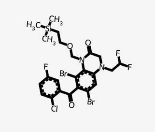 C[Si](C)(C)CCOCN1C(=O)CN(CC(F)F)c2cc(Br)c(C(=O)c3cc(F)ccc3Cl)c(Br)c21